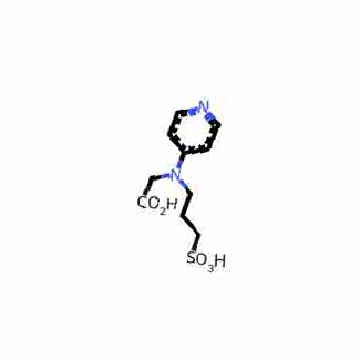 O=C(O)CN(CCCS(=O)(=O)O)c1ccncc1